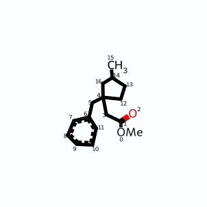 COC(=O)CC1(Cc2ccccc2)CCC(C)C1